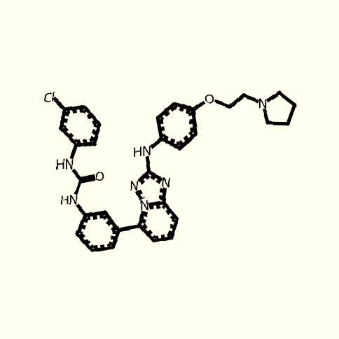 O=C(Nc1cccc(Cl)c1)Nc1cccc(-c2cccc3nc(Nc4ccc(OCCN5CCCC5)cc4)nn23)c1